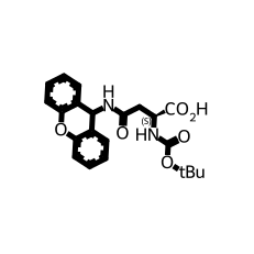 CC(C)(C)OC(=O)N[C@@H](CC(=O)NC1c2ccccc2Oc2ccccc21)C(=O)O